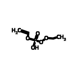 C=COP(=O)(O)OOCC